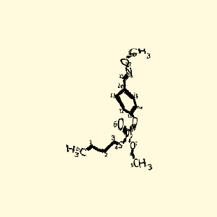 CCCCSP(=O)(OCC)Oc1ccc(C=NOC)cc1